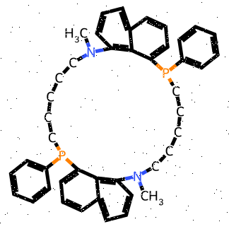 CN1CCCCCP(c2ccccc2)c2cccc3cccc(c23)N(C)CCCCCP(c2ccccc2)c2cccc3cccc1c23